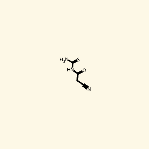 N#CCC(=O)NC(N)=S